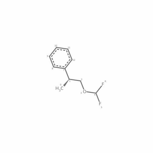 C[C@H](COC(F)F)c1ccccc1